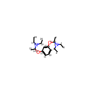 CCN(CC)C(C)Oc1cccc(OC(C)N(CC)CC)c1